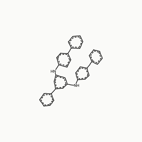 c1ccc(-c2ccc(Nc3cc(Nc4ccc(-c5ccccc5)cc4)cc(-c4ccccc4)c3)cc2)cc1